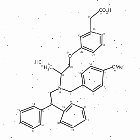 COc1ccc(CN(CC(c2ccccc2)c2ccccc2)C(C)COc2cccc(CC(=O)O)c2)cc1.Cl